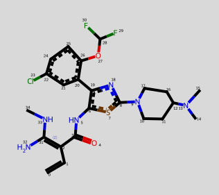 C=C/C(C(=O)Nc1sc(N2CCC(N(C)C)CC2)nc1-c1cc(Cl)ccc1OC(F)F)=C(\N)NC